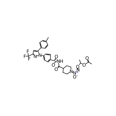 CC(=O)OC(C)O/N=[N+](/[O-])N1CCC(C(=O)NS(=O)(=O)c2ccc(-n3nc(C(F)(F)F)cc3-c3ccc(C)cc3)cc2)CC1